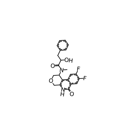 CN(C(=O)C(O)Cc1ccccc1)C1COCc2[nH]c(=O)c3cc(F)c(F)cc3c21